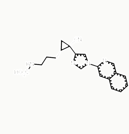 N#C[C@@]1(c2cn(-c3cc4ccccc4cn3)cn2)C[C@H]1CCCNC(=O)O